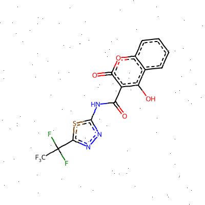 O=C(Nc1nnc(C(F)(F)C(F)(F)F)s1)c1c(O)c2ccccc2oc1=O